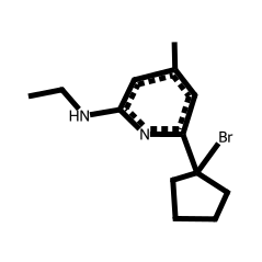 CCNc1cc(C)cc(C2(Br)CCCC2)n1